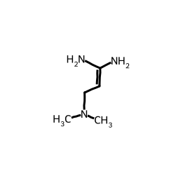 CN(C)CC=C(N)N